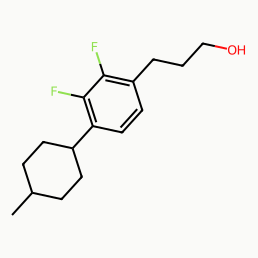 CC1CCC(c2ccc(CCCO)c(F)c2F)CC1